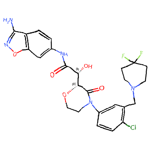 Nc1noc2cc(NC(=O)[C@H](O)[C@H]3OCCN(c4ccc(Cl)c(CN5CCC(F)(F)CC5)c4)C3=O)ccc12